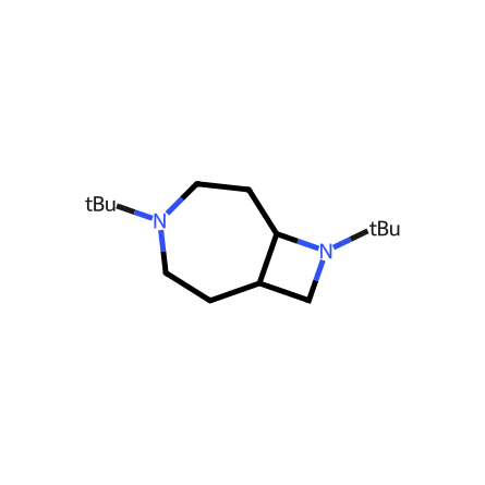 CC(C)(C)N1CCC2CN(C(C)(C)C)C2CC1